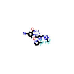 Cc1cc(C#N)cc(C(N)=O)c1NC(=O)c1cc(Cn2nnc(C(F)(F)F)n2)nn1-c1ncccc1C(F)(F)F